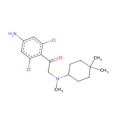 CN(CC(=O)c1c(Cl)cc(N)cc1Cl)C1CCC(C)(C)CC1